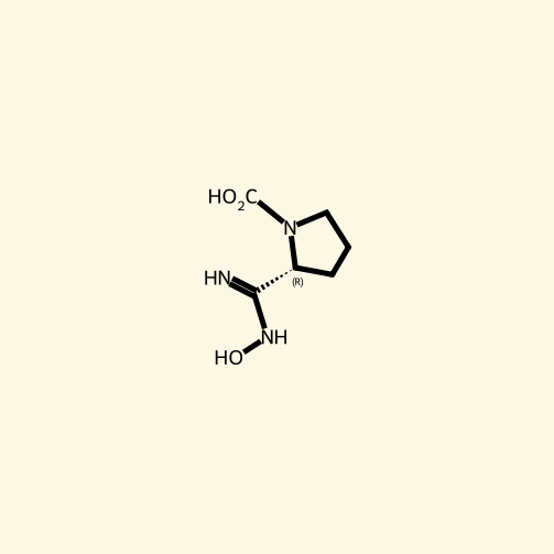 N=C(NO)[C@H]1CCCN1C(=O)O